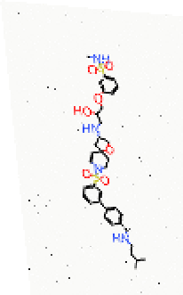 CNS(=O)(=O)c1cccc(OCC(O)CN[C@H]2COC3(CCN(S(=O)(=O)c4cccc(-c5ccc(CNCCC(C)C)cc5)c4)CC3)C2)c1